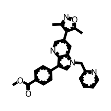 COC(=O)c1ccc(-c2cn(Cc3ccccn3)c3cc(-c4c(C)noc4C)cnc23)cc1